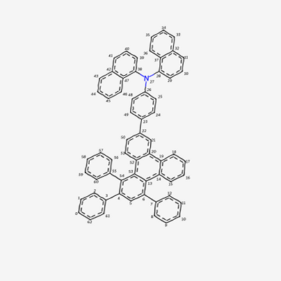 c1ccc(-c2cc(-c3ccccc3)c3c4ccccc4c4cc(-c5ccc(N(c6cccc7ccccc67)c6cccc7ccccc67)cc5)ccc4c3c2-c2ccccc2)cc1